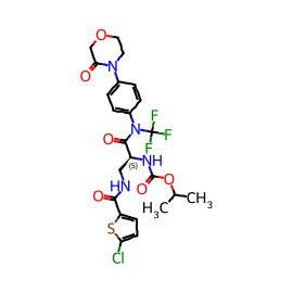 CC(C)OC(=O)N[C@@H](CNC(=O)c1ccc(Cl)s1)C(=O)N(c1ccc(N2CCOCC2=O)cc1)C(F)(F)F